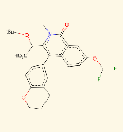 Cc1c(-c2c(C(OC(C)(C)C)C(=O)O)n(C)c(=O)c3cc(OC(F)F)ccc23)ccc2c1CCCO2